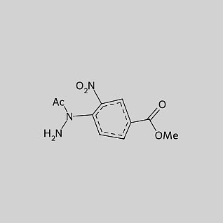 COC(=O)c1ccc(N(N)C(C)=O)c([N+](=O)[O-])c1